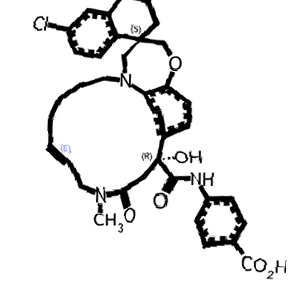 CN1C/C=C/CCCCN2C[C@@]3(CCCc4cc(Cl)ccc43)COc3ccc(cc32)[C@@](O)(C(=O)Nc2ccc(C(=O)O)cc2)CC1=O